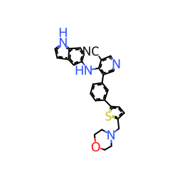 N#Cc1cncc(-c2cccc(-c3ccc(CN4CCOCC4)s3)c2)c1Nc1ccc2[nH]ccc2c1